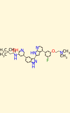 CN(C)CCOc1cc(F)cc(-c2ccnc3[nH]c(-c4n[nH]c5ccc(-c6cncc(NC(O)CC(C)(C)C)c6)cc45)cc23)c1